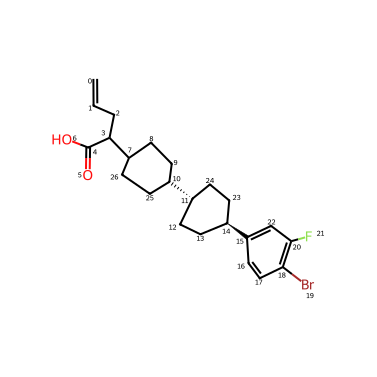 C=CCC(C(=O)O)C1CCC([C@H]2CC[C@H](c3ccc(Br)c(F)c3)CC2)CC1